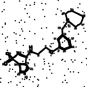 O=S1(=O)N=C(NCCOc2cccc(CN3CCCCC3)c2)c2cscc21